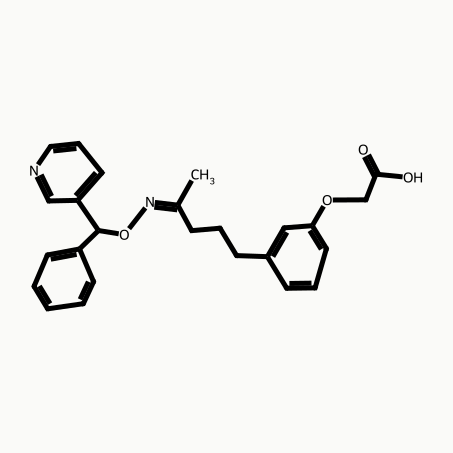 C/C(CCCc1cccc(OCC(=O)O)c1)=N/OC(c1ccccc1)c1cccnc1